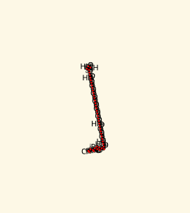 CC(C)[C@@H](NC(=O)c1cccc(C(=O)NCCOCCOCCOCCOCCC(=O)NCCOCCOCCOCCOCCOCCOCCOCCOCCOCCOCCOCCNC(=O)CCCC[C@@H]2SC[C@@H]3NC(=O)N[C@@H]32)c1)C(=O)N1CCC(c2ccc(Cl)cc2)CC1